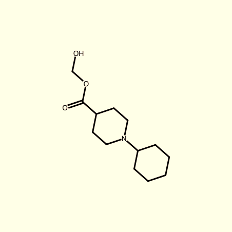 O=C(OCO)C1CCN(C2CCCCC2)CC1